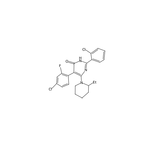 CCC1C[CH]CCN1c1nc(-c2ccccc2Cl)[nH]c(=O)c1-c1ccc(Cl)cc1F